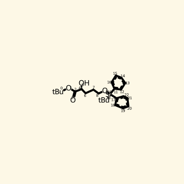 CC(C)(C)OC(=O)[C@@H](O)CCCO[Si](c1ccccc1)(c1ccccc1)C(C)(C)C